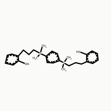 CS(C)(CCCc1ccccc1O)c1ccc(S(C)(C)CCCc2ccccc2O)cc1